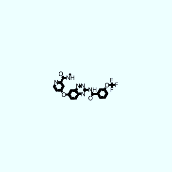 CNC(=O)c1cc(Oc2ccc3nc(NC(=O)c4cccc(OC(F)(F)F)c4)nnc3c2)ccn1